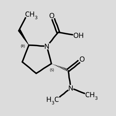 CC[C@@H]1CC[C@@H](C(=O)N(C)C)N1C(=O)O